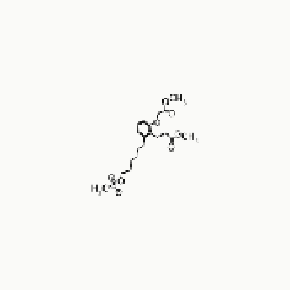 COC(=O)CCc1c(CCCCCCOS(C)(=O)=O)cccc1OCC(=O)OC